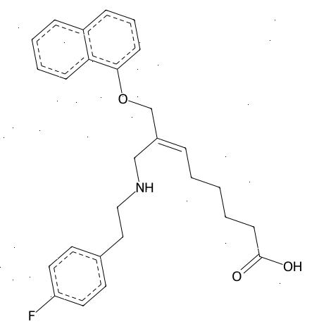 O=C(O)CCCCC=C(CNCCc1ccc(F)cc1)COc1cccc2ccccc12